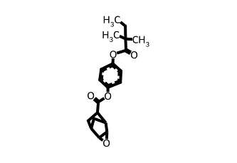 CCC(C)(C)C(=O)Oc1ccc(OC(=O)C2CC3CC2C2OC32)cc1